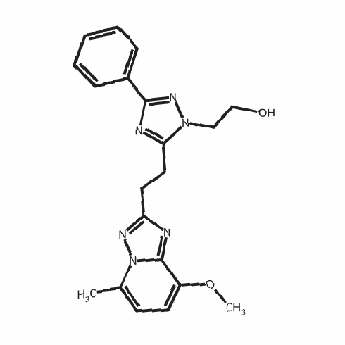 COc1ccc(C)n2nc(CCc3nc(-c4ccccc4)nn3CCO)nc12